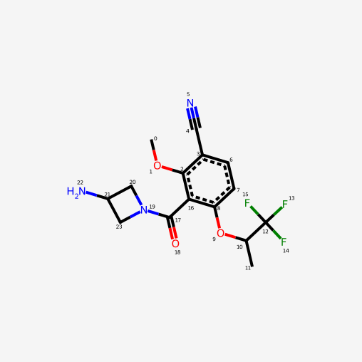 COc1c(C#N)ccc(OC(C)C(F)(F)F)c1C(=O)N1CC(N)C1